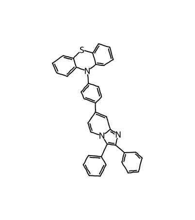 c1ccc(-c2nc3cc(-c4ccc(N5c6ccccc6Sc6ccccc65)cc4)ccn3c2-c2ccccc2)cc1